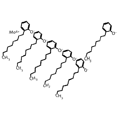 CCCCCCCCCc1ccccc1[O-].CCCCCCCCCc1ccccc1[O-].CCCCCCCCCc1ccccc1[O-].CCCCCCCCCc1ccccc1[O-].CCCCCCCCCc1ccccc1[O-].CCCCCCCCCc1ccccc1[O-].[Mo+6]